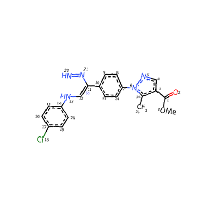 COC(=O)c1cnn(-c2ccc(/C(=C/Nc3ccc(Cl)cc3)N=N)cc2)c1C(F)(F)F